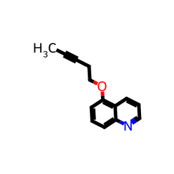 CC#CCCOc1cccc2ncccc12